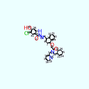 O=C(N/N=C/c1ccc(OCC(=O)N(Cc2ccccn2)CC2C=CCCC2)c2ccccc12)c1ccc(O)c(Cl)c1